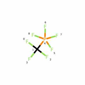 FC(F)(F)P(F)(F)(F)F